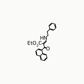 CCOC(=O)/C(=C\NCCc1ccccc1)C(=O)c1cccc2ccccc12